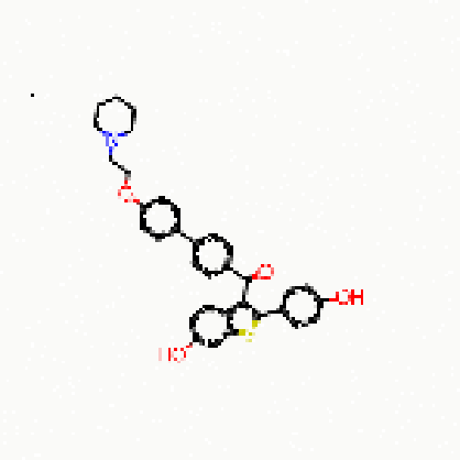 O=C(c1ccc(-c2ccc(OCCN3CCCCC3)cc2)cc1)c1c(-c2ccc(O)cc2)sc2cc(O)ccc12